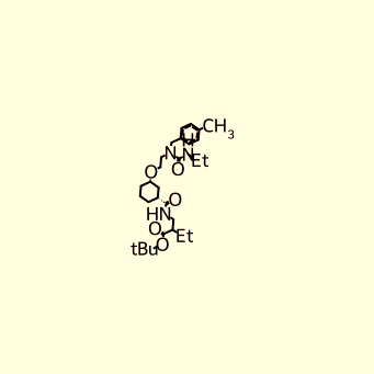 CCNC(=O)N(CCO[C@H]1CCC[C@@H](C(=O)NCC(CC)C(=O)OC(C)(C)C)C1)Cc1ccc(C)cc1